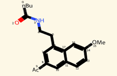 CCCCC(=O)NCCc1cc(C(C)=O)cc2ccc(OC)cc12